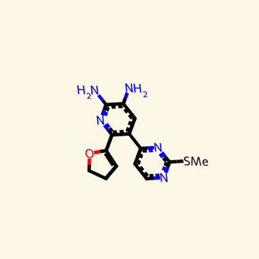 CSc1nccc(-c2cc(N)c(N)nc2C2=CCCO2)n1